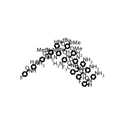 CC(C)(C)C(=O)Nc1ccc(N)cc1.COc1ccc(C(=O)Nc2ccc(N)cc2)cc1.COc1cccc(C(=O)Nc2ccc(N)cc2)c1.COc1ccccc1C(=O)Nc1ccc(N)cc1.Nc1ccc(NC(=O)C(F)(F)F)cc1.Nc1ccc(NC(=O)Cc2ccccc2)cc1.Nc1ccc(NC(=O)c2ccc(F)cc2)cc1.Nc1ccc(NC(=O)c2cccc(F)c2)cc1.Nc1ccc(NC(=O)c2ccccc2F)cc1